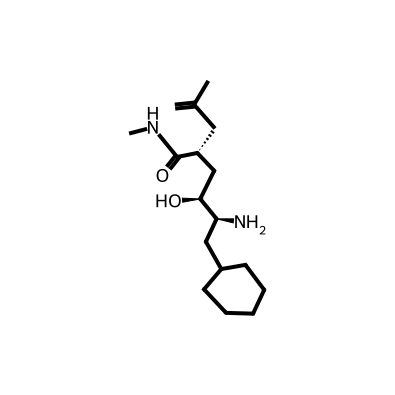 C=C(C)C[C@H](C[C@H](O)[C@@H](N)CC1CCCCC1)C(=O)NC